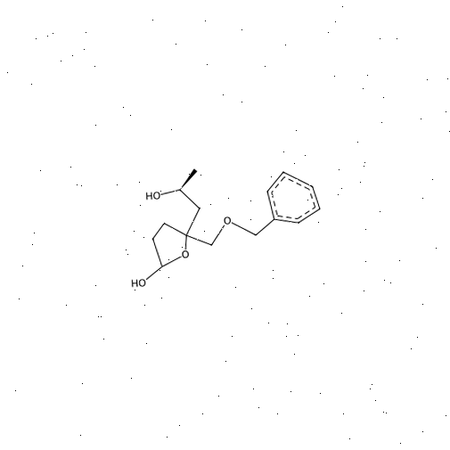 C[C@H](O)CC1(COCc2ccccc2)CCC(O)O1